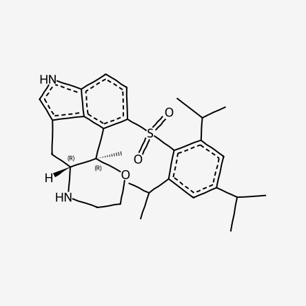 CC(C)c1cc(C(C)C)c(S(=O)(=O)c2ccc3[nH]cc4c3c2[C@@]2(C)OCCN[C@@H]2C4)c(C(C)C)c1